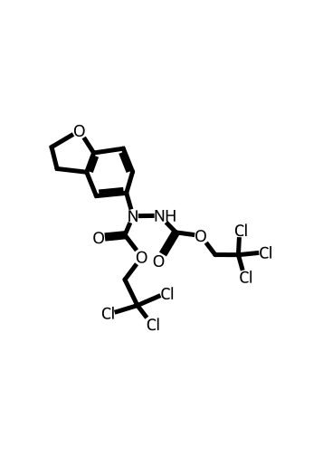 O=C(NN(C(=O)OCC(Cl)(Cl)Cl)c1ccc2c(c1)CCO2)OCC(Cl)(Cl)Cl